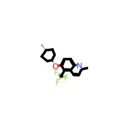 Cc1ccc2c(C(F)(F)F)c(O[C@H]3CC[C@@H](C)CC3)ccc2n1